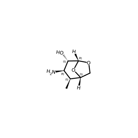 C[C@H]1[C@@H](N)[C@H](O)[C@@H]2OC[C@H]1O2